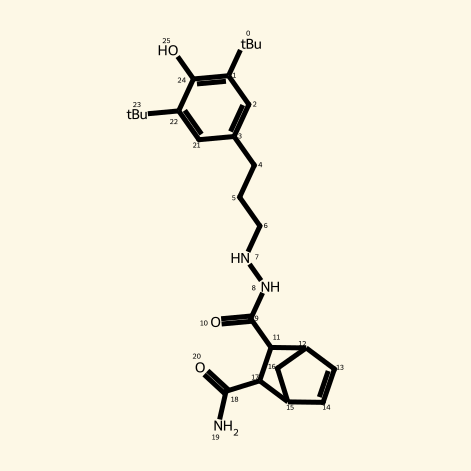 CC(C)(C)c1cc(CCCNNC(=O)C2C3C=CC(C3)C2C(N)=O)cc(C(C)(C)C)c1O